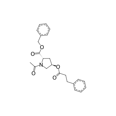 CC(=O)N1C[C@H](OC(=O)CCc2ccccc2)C[C@H]1C(=O)OCc1ccccc1